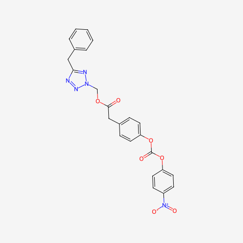 O=C(Cc1ccc(OC(=O)Oc2ccc([N+](=O)[O-])cc2)cc1)OCn1nnc(Cc2ccccc2)n1